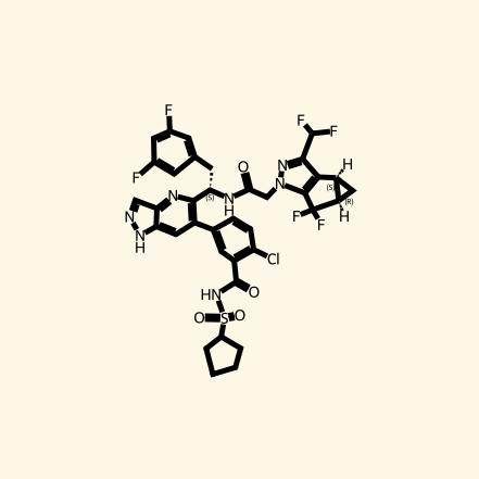 O=C(Cn1nc(C(F)F)c2c1C(F)(F)[C@@H]1C[C@H]21)N[C@@H](Cc1cc(F)cc(F)c1)c1nc2cn[nH]c2cc1-c1ccc(Cl)c(C(=O)NS(=O)(=O)C2CCCC2)c1